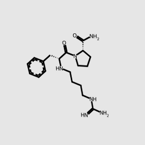 N=C(N)NCCCCN[C@H](Cc1ccccc1)C(=O)N1CCC[C@H]1C(N)=O